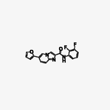 O=C(Nc1cccc(F)c1F)c1cn2cc(-c3ccco3)ccc2n1